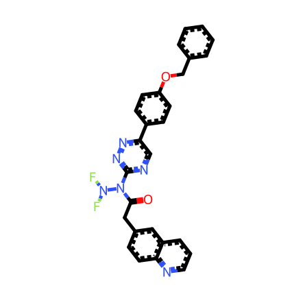 O=C(Cc1ccc2ncccc2c1)N(c1ncc(-c2ccc(OCc3ccccc3)cc2)nn1)N(F)F